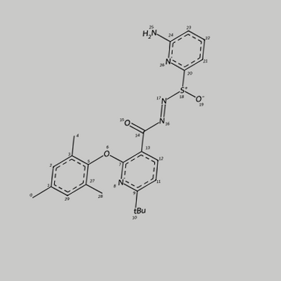 Cc1cc(C)c(Oc2nc(C(C)(C)C)ccc2C(=O)N=N[S+]([O-])c2cccc(N)n2)c(C)c1